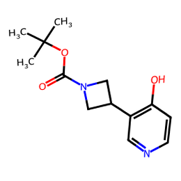 CC(C)(C)OC(=O)N1CC(c2cnccc2O)C1